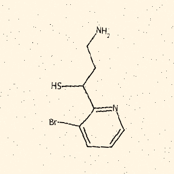 NCCC(S)c1ncccc1Br